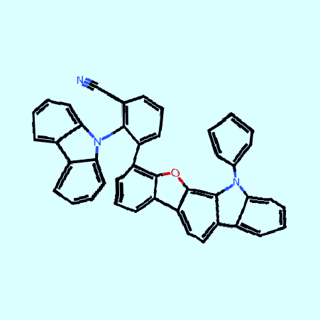 N#Cc1cccc(-c2cccc3c2oc2c3ccc3c4ccccc4n(-c4ccccc4)c32)c1-n1c2ccccc2c2ccccc21